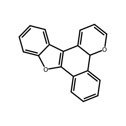 C1=COC2C(=C1)c1c(oc3ccccc13)-c1ccccc12